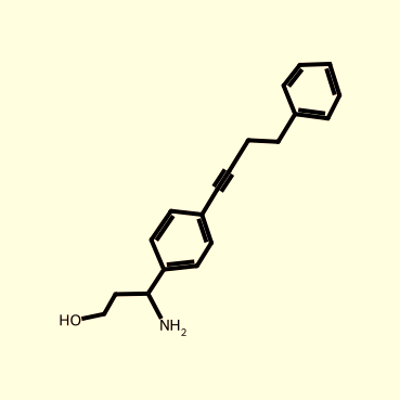 NC(CCO)c1ccc(C#CCCc2ccccc2)cc1